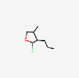 CCCC1C(C)COC1Cl